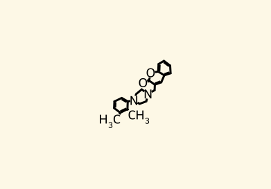 Cc1cccc(N2CCN(Cc3cc4ccccc4oc3=O)CC2)c1C